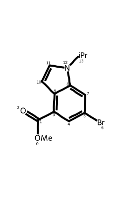 COC(=O)c1cc(Br)cc2c1ccn2C(C)C